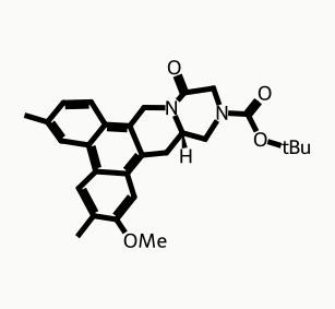 COc1cc2c3c(c4ccc(C)cc4c2cc1C)CN1C(=O)CN(C(=O)OC(C)(C)C)C[C@@H]1C3